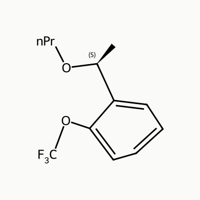 CCCO[C@@H](C)c1ccccc1OC(F)(F)F